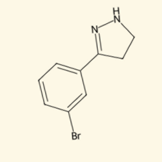 Brc1cccc(C2=NNCC2)c1